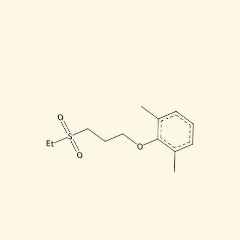 CCS(=O)(=O)CCCOc1c(C)cccc1C